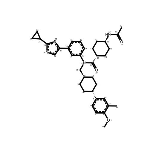 COc1ccc([C@H]2CC[C@H](CN(c3cccc(-c4cnc(C5CC5)s4)c3)C(=O)[C@H]3CC[C@H](NC(C)=O)CC3)CC2)cc1C